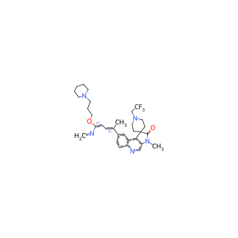 C=N/C(=C\C=C(/C)c1ccc2ncc3c(c2c1)C1(CCN(CC(F)(F)F)CC1)C(=O)N3C)OCCCN1CCCCC1